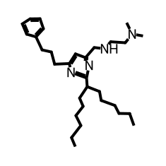 CCCCCCC(CCCCCC)c1nc(CCCc2ccccc2)cc(CNCCN(C)C)n1